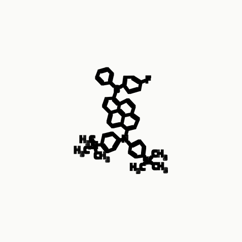 C[Si](C)(C)c1ccc(N(c2ccc([Si](C)(C)C)cc2)c2ccc3ccc4c(B(c5ccccc5)c5ccc(F)cc5)ccc5ccc2c3c54)cc1